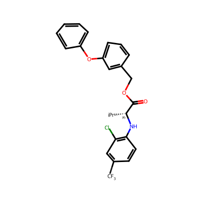 CC(C)[C@@H](Nc1ccc(C(F)(F)F)cc1Cl)C(=O)OCc1cccc(Oc2ccccc2)c1